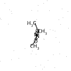 CCCCCCCCOC(C)COc1cnc(-c2ccc(OCCCCCC)cc2)cn1